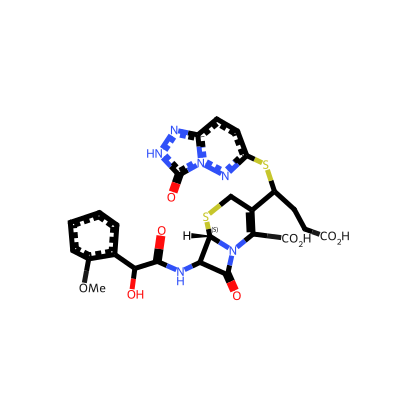 COc1ccccc1C(O)C(=O)NC1C(=O)N2C(C(=O)O)=C(C(CCC(=O)O)Sc3ccc4n[nH]c(=O)n4n3)CS[C@@H]12